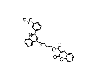 O=C(OCCCSc1cc(-c2cccc(C(F)(F)F)c2)nc2ccccc12)c1cc2ccccc2oc1=O